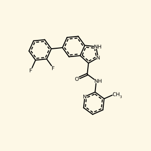 Cc1cccnc1NC(=O)c1n[nH]c2ccc(-c3cccc(F)c3F)cc12